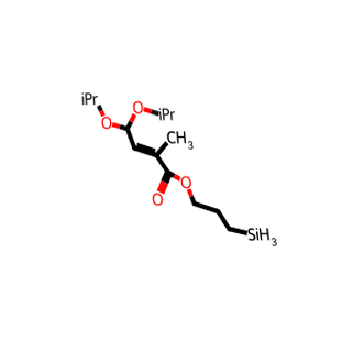 CC(=CC(OC(C)C)OC(C)C)C(=O)OCCC[SiH3]